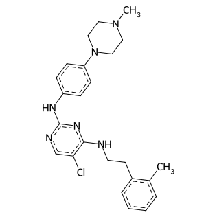 Cc1ccccc1CCNc1nc(Nc2ccc(N3CCN(C)CC3)cc2)ncc1Cl